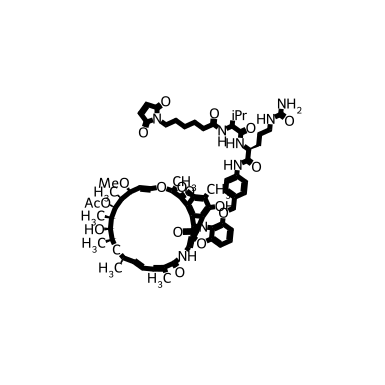 CO[C@H]1/C=C/O[C@@]2(C)Oc3c(C)c(O)c4c(=O)c(c5oc6cccc(OCc7ccc(NC(=O)[C@H](CCCNC(N)=O)NC(=O)C(NC(=O)CCCCCN8C(=O)C=CC8=O)C(C)C)cc7)c6nc-5c4c3C2=O)NC(=O)/C(C)=C\C=C\[C@H](C)C[C@@H](C)[C@@H](O)[C@@H](C)[C@H](OC(C)=O)[C@@H]1C